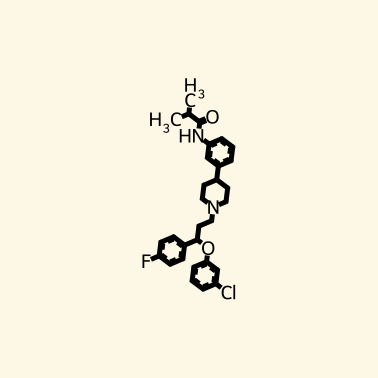 CC(C)C(=O)Nc1cccc(C2CCN(CCC(Oc3cccc(Cl)c3)c3ccc(F)cc3)CC2)c1